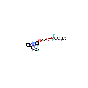 CCOC(=O)C(F)(F)OCCOCCCCOc1cc(F)c([C@@H]2c3[nH]c4ccccc4c3C[C@@H](C)N2CC(C)(C)F)c(F)c1